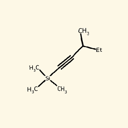 CCC(C)C#C[Si](C)(C)C